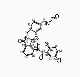 O=C=NCc1ccc(CN2C(=O)c3cccc(NC(=O)C4=CC(Cl)=CCC4=S)c3C2=O)cc1